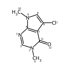 Cn1cnc2c(c(Cl)cn2C)c1=O